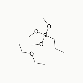 CCC[Si](OC)(OC)OC.CCOCC